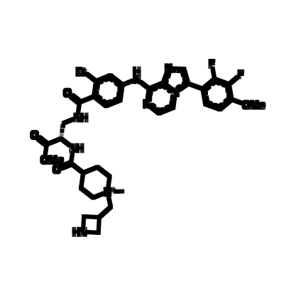 CCc1cc(Nc2nccn3c(-c4ccc(OC)c(F)c4F)cnc23)ccc1C(=O)NC[C@H](NC(=O)C1CC[N+](C)(CC2CNC2)CC1)C(=O)OC